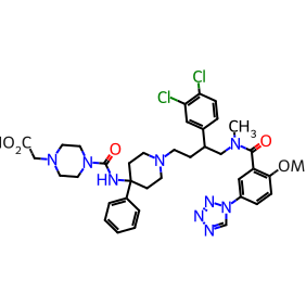 COc1ccc(-n2cnnn2)cc1C(=O)N(C)CC(CCN1CCC(NC(=O)N2CCN(CC(=O)O)CC2)(c2ccccc2)CC1)c1ccc(Cl)c(Cl)c1